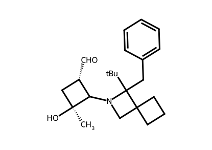 CC(C)(C)C1(Cc2ccccc2)N(C2[C@@H](C=O)C[C@]2(C)O)CC12CCC2